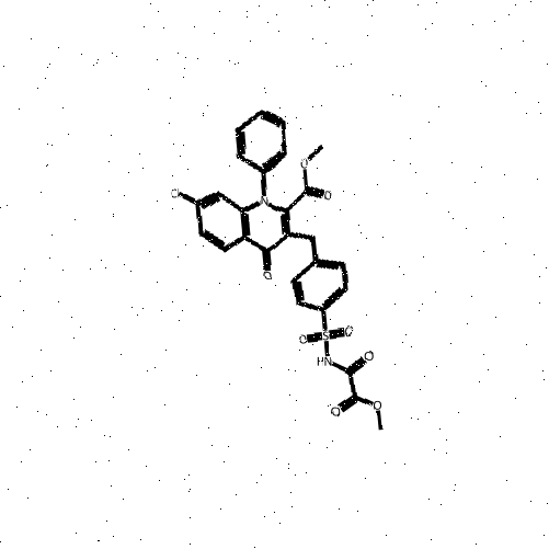 COC(=O)C(=O)NS(=O)(=O)c1ccc(Cc2c(C(=O)OC)n(-c3ccccc3)c3cc(Cl)ccc3c2=O)cc1